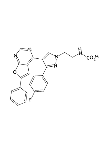 O=C(O)NCCn1cc(-c2ncnc3oc(-c4ccccc4)cc23)c(-c2ccc(F)cc2)n1